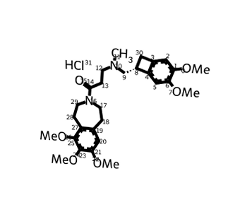 COc1cc2c(cc1OC)[C@H](CN(C)CCC(=O)N1CCc3cc(OC)c(OC)c(OC)c3CC1)C2.Cl